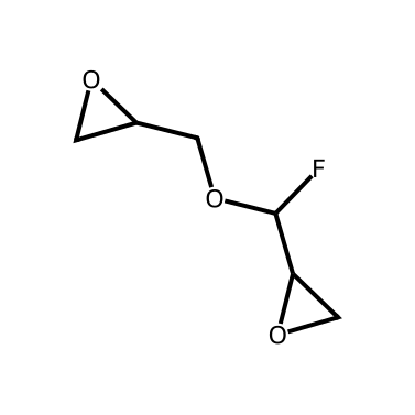 FC(OCC1CO1)C1CO1